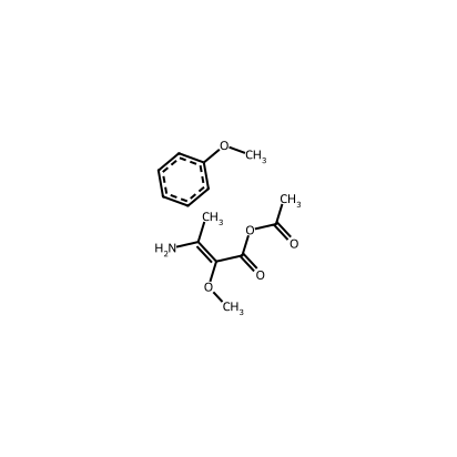 COC(C(=O)OC(C)=O)=C(C)N.COc1ccccc1